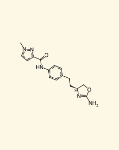 Cn1ccc(C(=O)Nc2ccc(CC[C@H]3COC(N)=N3)cc2)n1